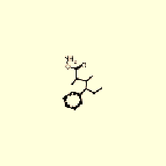 CCC(c1ccccc1)C(C)C(C)C(=O)ON